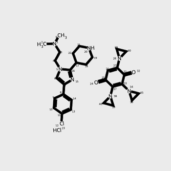 CN(C)CCn1cc(-c2ccc(Cl)cc2)nc1C1CCNCC1.Cl.O=C1C=C(N2CC2)C(=O)C(N2CC2)=C1N1CC1